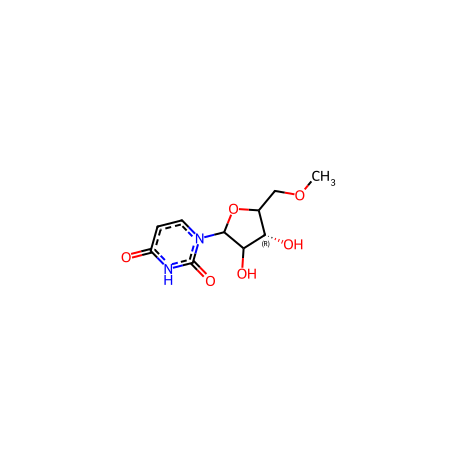 COCC1OC(n2ccc(=O)[nH]c2=O)C(O)[C@H]1O